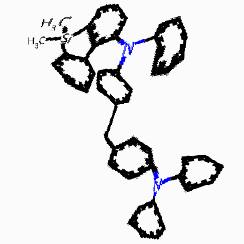 C[Si]1(C)c2ccccc2-c2c(N(c3ccccc3)c3ccc(Cc4ccc(N(c5ccccc5)c5ccccc5)cc4)cc3)cccc21